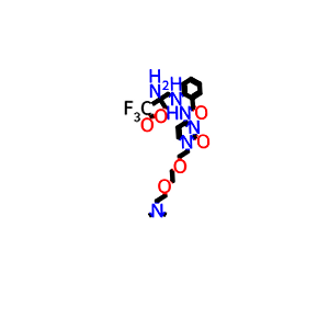 CN(C)CCOCCOCCn1ccc(NC(=O)c2ccccc2NCC(C)(N)COC(=O)C(F)(F)F)nc1=O